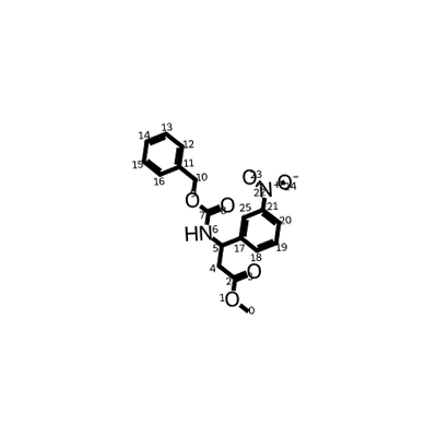 COC(=O)CC(NC(=O)OCc1ccccc1)c1cccc([N+](=O)[O-])c1